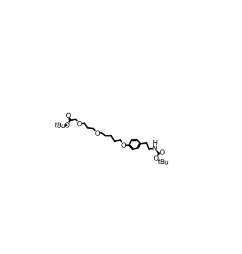 CC(C)(C)OC(=O)COCCCOCCCCCOc1ccc(CCNC(=O)OC(C)(C)C)cc1